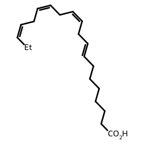 CC/C=C\C/C=C\C/C=C\C/C=C/CCCCCCC(=O)O